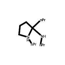 CCCNC1(CCC)CCC[SiH]1CCC